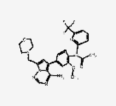 COc1cc(-c2cc(CN3CCOCC3)n3ncnc(N)c23)ccc1N(C(N)=O)c1cccc(C(F)(F)F)n1